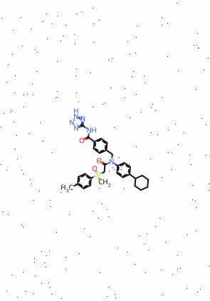 C=S(=O)(CC(=O)N(Cc1ccc(C(=O)Nc2nn[nH]n2)cc1)c1ccc(C2CCCCC2)cc1)c1ccc(C)cc1